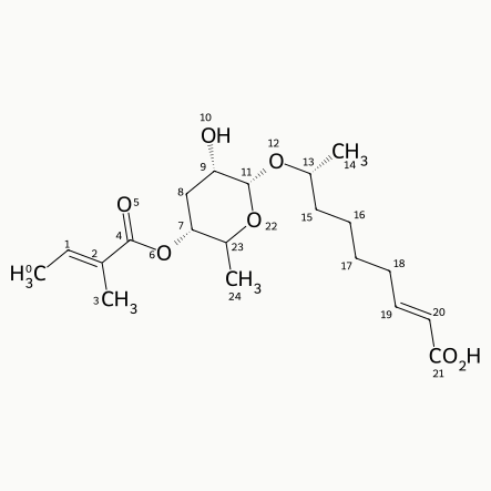 C/C=C(\C)C(=O)O[C@@H]1C[C@H](O)[C@H](O[C@H](C)CCCC/C=C/C(=O)O)OC1C